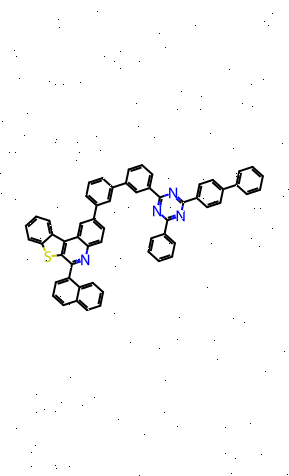 c1ccc(-c2ccc(-c3nc(-c4ccccc4)nc(-c4cccc(-c5cccc(-c6ccc7nc(-c8cccc9ccccc89)c8sc9ccccc9c8c7c6)c5)c4)n3)cc2)cc1